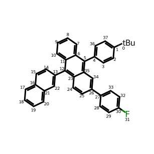 CC(C)(C)c1ccc(-c2c3ccccc3c(-c3ccc4ccccc4c3)c3ccc(-c4ccc(F)cc4)cc23)cc1